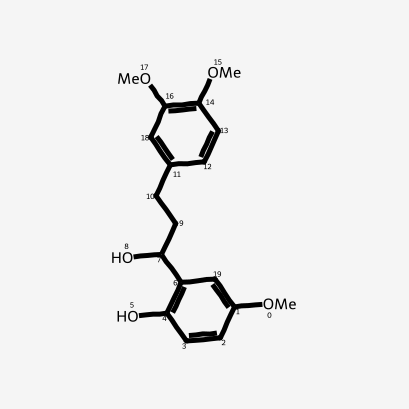 COc1ccc(O)c(C(O)CCc2ccc(OC)c(OC)c2)c1